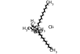 CCCCCCCCCCCCCCOC(C)(OC(=O)CCCCCCCCCCC)[N+](C)(CCC)CCC.[Cl-]